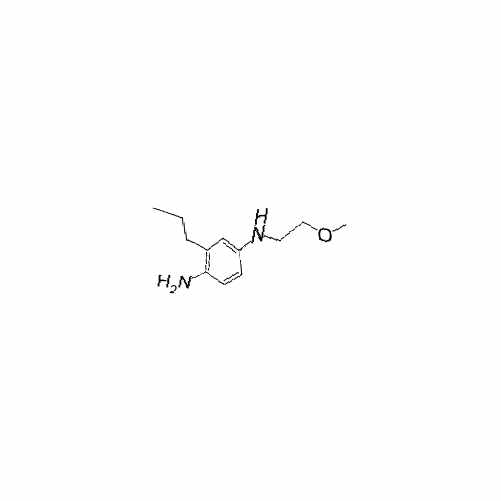 CCCc1cc(NCCOC)ccc1N